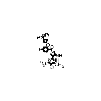 CCCN[C@H]1C[C@H](Oc2cc(F)ccc2C(=O)N2CC(=N)/C(=C3/N=C(C)C(Cl)=C(C)N3)C2)C1